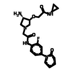 N[C@H]1CN(CC(=O)Nc2ccc(-n3ccccc3=O)cc2F)C[C@@H]1OCC(=O)NC1CC1